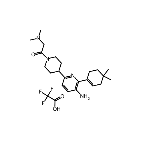 CN(C)CC(=O)N1CCC(c2ccc(N)c(C3=CCC(C)(C)CC3)n2)CC1.O=C(O)C(F)(F)F